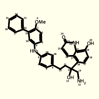 COc1ccc(Nc2ccc(CCC(O)(CN)c3ccc(O)c4[nH]c(=O)ccc34)cc2)cc1-c1ccccc1